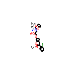 COC(=O)C(=Cc1ccc(OCC(O)CNC(C)Oc2ccccc2OC)cc1)c1ccccc1F